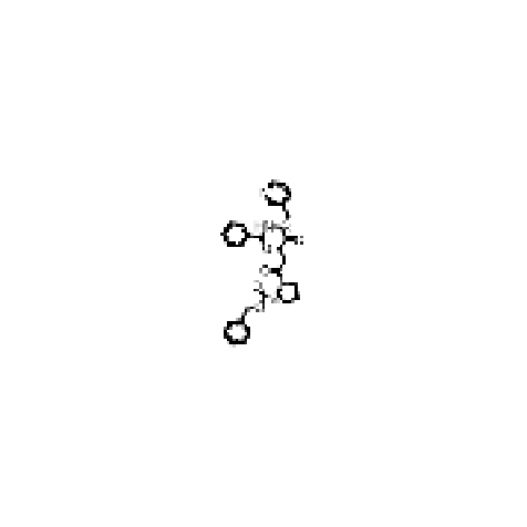 O=C(N[C@H](Cc1cccnc1)C(=O)CCC(=O)N1CCC[C@H]1C(=O)OCc1ccccc1)c1ccccc1